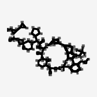 CO[C@@H](C)c1ncccc1-c1c2c3cc(ccc3n1CC(F)(F)F)-c1csc(n1)C[C@H](NC(=O)C(C1CCCC1)N1CCOC3(CN(C(=O)[C@@H]4NC4C4CC4)C3)C1)C(=O)N1CCC[C@H](N1)C(=O)OCC(C)(C)C2